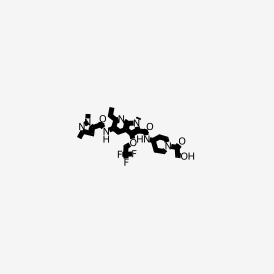 CCc1nc2c(cc1NC(=O)c1cc(C)nn1C)c(OCC(F)(F)F)c(C(=O)NC1CCN(C(=O)CO)CC1)n2C